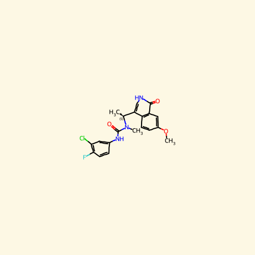 COc1ccc2c([C@H](C)N(C)C(=O)Nc3ccc(F)c(Cl)c3)c[nH]c(=O)c2c1